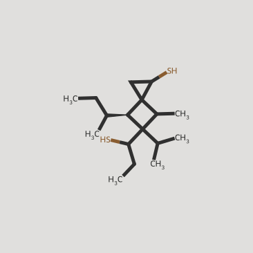 CCC(C)[C@H]1C2(CC2S)C(C)C1(C(C)C)C(S)CC